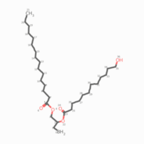 BCC(COC(=O)CCCCCCCCCCCCCCC)OC(=O)CCCCCCCCCCCO